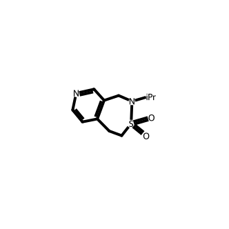 CC(C)N1Cc2cnccc2CCS1(=O)=O